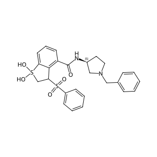 O=C(N[C@H]1CCN(Cc2ccccc2)C1)c1cccc2c1C(S(=O)(=O)c1ccccc1)CS2(O)O